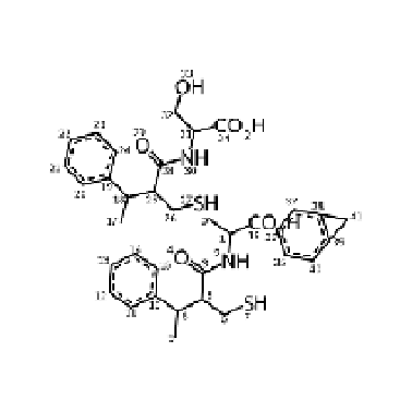 CC(NC(=O)C(CS)C(C)c1ccccc1)C(=O)O.CC(c1ccccc1)C(CS)C(=O)NC(CO)C(=O)O.c1ccc2c(c1)C2